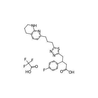 O=C(O)C(F)(F)F.O=C(O)CC(Cc1nnc(CCCc2ccc3c(n2)NCCC3)s1)c1ccc(F)cc1